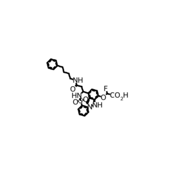 O=C(CC(NS(=O)(=O)c1ccccc1)c1ccc(OC(F)C(=O)O)c2[nH]ncc12)NCCCCc1ccccc1